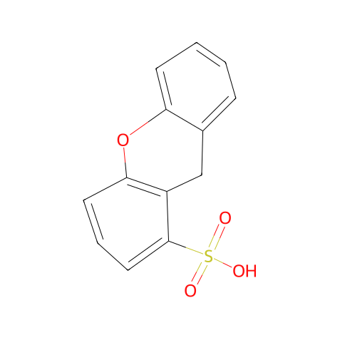 O=S(=O)(O)c1cccc2c1Cc1ccccc1O2